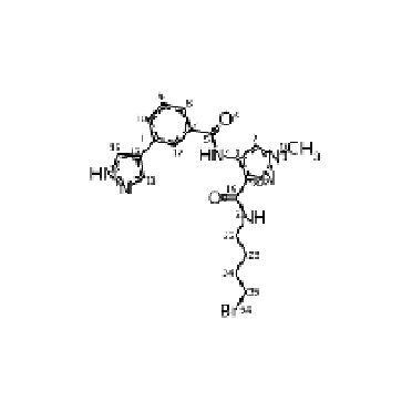 Cn1cc(NC(=O)c2cccc(-c3cn[nH]c3)c2)c(C(=O)NCCCCBr)n1